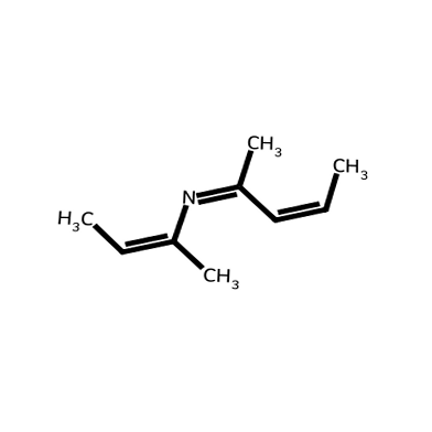 C\C=C/C(C)=N\C(C)=C/C